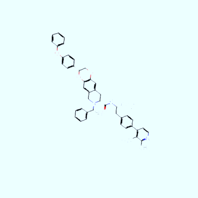 CC[C@@H](c1ccccc1)N1Cc2cc3c(cc2C[C@H]1C(=O)N[C@@H](Cc1ccc(-c2ccnc(C)c2C)cc1)C(=O)O)OC[C@H](c1ccc(Oc2ccccc2)cc1)O3